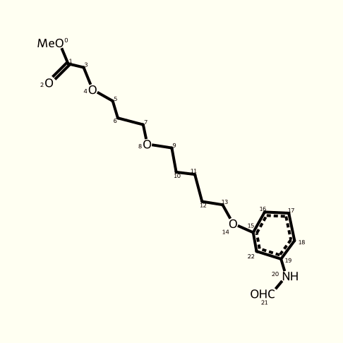 COC(=O)COCCCOCCCCCOc1cccc(NC=O)c1